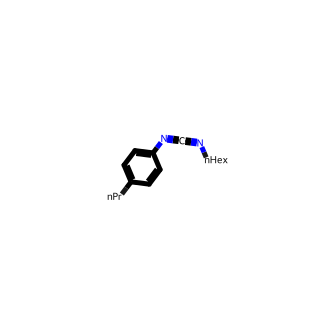 CCCCCCN=C=Nc1ccc(CCC)cc1